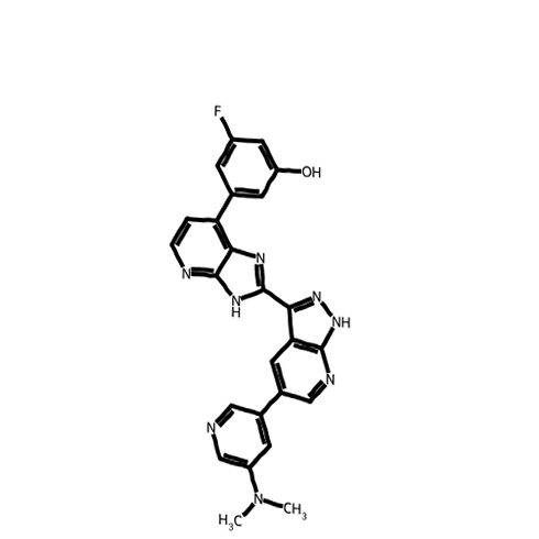 CN(C)c1cncc(-c2cnc3[nH]nc(-c4nc5c(-c6cc(O)cc(F)c6)ccnc5[nH]4)c3c2)c1